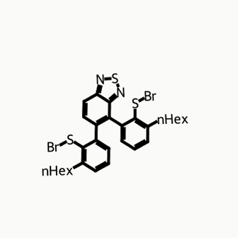 CCCCCCc1cccc(-c2ccc3nsnc3c2-c2cccc(CCCCCC)c2SBr)c1SBr